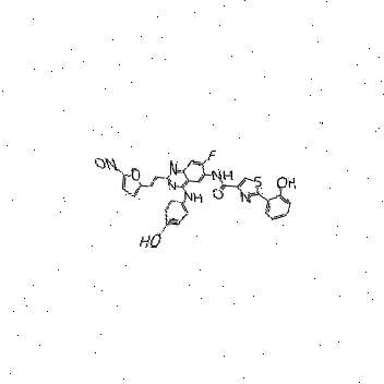 O=Nc1ccc(/C=C/c2nc(Nc3ccc(O)cc3)c3cc(NC(=O)c4csc(-c5ccccc5O)n4)c(F)cc3n2)o1